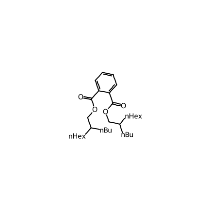 CCCCCCC(CCCC)COC(=O)c1ccccc1C(=O)OCC(CCCC)CCCCCC